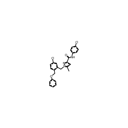 Cc1cc(C(=O)Nc2ccc(Cl)cc2)nn1Cc1cc(Cl)ccc1COc1ccccc1